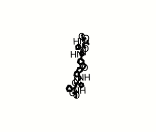 COC(=O)N[C@H](C(=O)N1CCC[C@H]1c1ncc(-c2ccc3c(c2)COc2cc4c(ccc5nc([C@@H]6CCCN6C(=O)[C@H](NC(=O)OC)c6ccccc6)[nH]c54)cc2-3)[nH]1)C(C)C